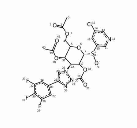 CC(=O)OCC1O[C@H]([S+]([O-])c2cncc(Cl)c2)C(OC(C)=O)[C@@H](n2cc(-c3cc(F)c(F)c(F)c3)nn2)[C@H]1OC(C)=O